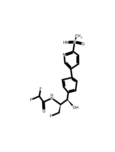 C[S@@](=N)(=O)c1ccc(-c2ccc([C@@H](O)[C@@H](CF)NC(=O)C(F)F)cc2)cn1